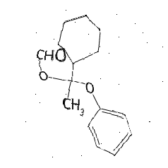 CC(O[C]=O)(Oc1ccccc1)C1CCCCC1